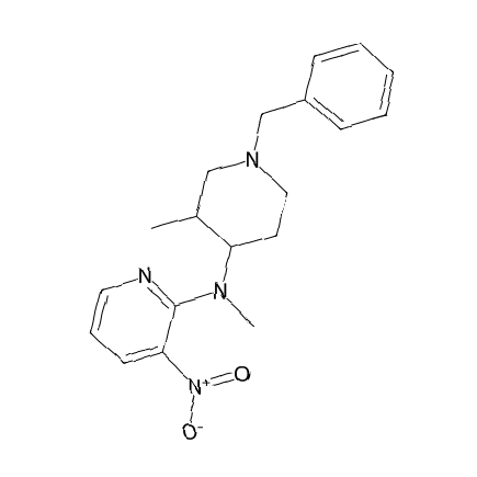 CC1CN(Cc2ccccc2)CCC1N(C)c1ncccc1[N+](=O)[O-]